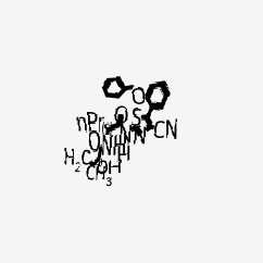 C=C(C)[C@H](O)C(=O)N[C@@H](CCC)C(=O)Nc1nc(C#N)c(-c2ccccc2OCc2ccccc2)s1